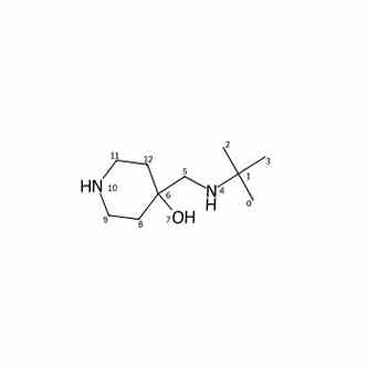 CC(C)(C)NCC1(O)CCNCC1